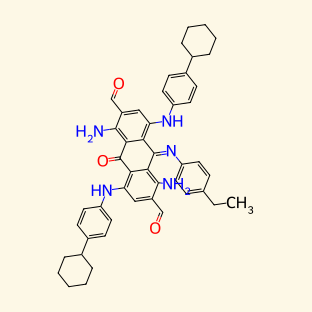 CCc1ccc(N=C2c3c(Nc4ccc(C5CCCCC5)cc4)cc(C=O)c(N)c3C(=O)c3c(Nc4ccc(C5CCCCC5)cc4)cc(C=O)c(N)c32)cc1